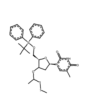 CSSC(C)OC1C[C@H](n2cc(C)c(=O)[nH]c2=O)O[C@@H]1CO[Si](c1ccccc1)(c1ccccc1)C(C)(C)C